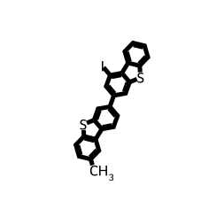 Cc1ccc2sc3cc(-c4cc(I)c5c(c4)sc4ccccc45)ccc3c2c1